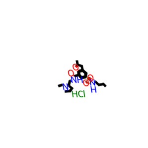 CCCCNS(=O)(=O)c1cc2c(c(C(=O)NCC3CCCN3CC)c1)OC(C)C2.Cl